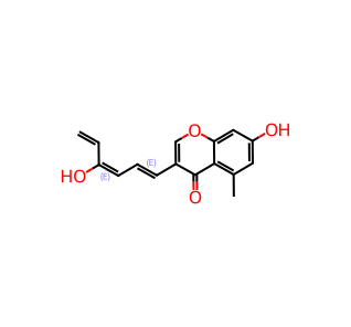 C=C/C(O)=C\C=C\c1coc2cc(O)cc(C)c2c1=O